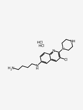 Cl.Cl.NCCCCNc1ccc2nc(N3CCNCC3)c(Cl)cc2c1